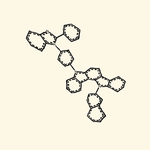 c1ccc(-c2nc3ccccc3n2-c2ccc(-n3c4ccccc4c4c3ccc3c5ccccc5n(-c5ccc6ccccc6c5)c34)cc2)cc1